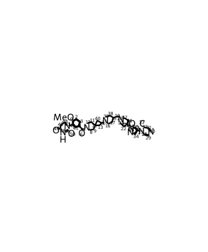 COc1ccc(C(=O)N2CCC3(CC2)CC(N2CCC(CN4CCC(n5cc(N6C=CN=CC6C(=O)O)cn5)CC4)CC2)C3)cc1N1CCC(=O)NC1=O